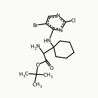 CC(C)(C)OC(=O)C(N)C1(Nc2nc(Cl)ncc2Br)CCCCC1